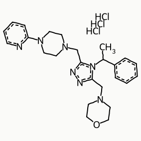 CC(c1ccccc1)n1c(CN2CCOCC2)nnc1CN1CCN(c2ccccn2)CC1.Cl.Cl.Cl